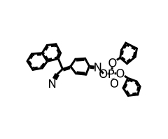 N#CC(=C1C=CC(=NOP(=O)(Oc2ccccc2)Oc2ccccc2)C=C1)c1cccc2ccccc12